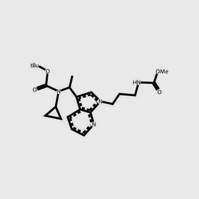 COC(=O)NCCCn1cc(C(C)N(C(=O)OC(C)(C)C)C2CC2)c2cccnc21